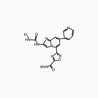 CCNC(=O)Nc1cn2c(-c3noc(C(=O)NC)n3)cc(-c3cccnc3)cc2n1